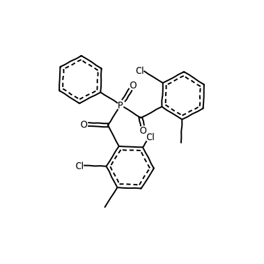 Cc1ccc(Cl)c(C(=O)P(=O)(C(=O)c2c(C)cccc2Cl)c2ccccc2)c1Cl